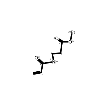 [CH]=CC(=O)NCCC(=O)OCC